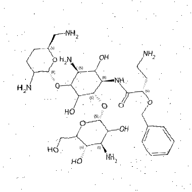 NCC[C@H](OCc1ccccc1)C(=O)N[C@@H]1C(O)[C@H](N)C(O[C@H]2O[C@H](CN)CCC2N)C(O)[C@H]1O[C@H]1OC(CO)[C@@H](O)[C@H](N)C1O